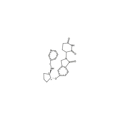 O=C1CCC(N2Cc3cc(O[C@@H]4CCC[C@H]4NCc4cccnc4)ccc3C2=O)C(=O)N1